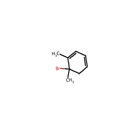 CC1=CC=C[CH]C1(C)Br